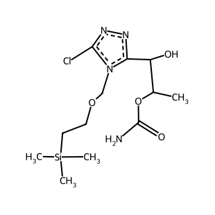 CC(OC(N)=O)C(O)c1nnc(Cl)n1COCC[Si](C)(C)C